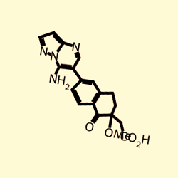 COC1(CC(=O)O)CCc2cc(-c3cnc4ccnn4c3N)ccc2C1=O